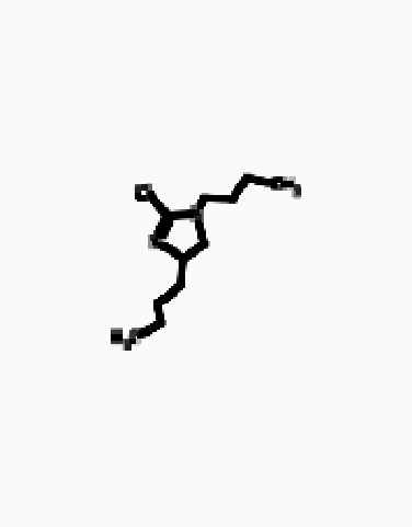 CCCCC1CN(CCCC)C(Cl)=N1